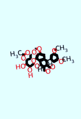 COc1cc(OC)cc([C@@H]2c3cc4c(cc3[C@@H](OC3OC5COC(C)OC5C(O)C3O)[C@H]3COC(=O)[C@H]23)OCO4)c1